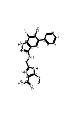 CSc1[nH]c(CNc2n[nH]c3c(F)c(Cl)c(-c4ccccc4)cc23)nc1C(=O)O